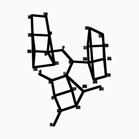 CC1C2C(C)C3(C(CC45C6C7C8C6C4C8C75)C45C6C7C8C6C4C8C75)C(C)C1C23